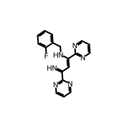 N=C(/C=C(\NCc1ccccc1F)c1ncccn1)c1ncccn1